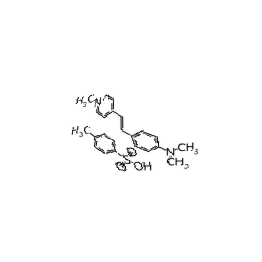 CN(C)c1ccc(C=Cc2cc[n+](C)cc2)cc1.Cc1ccc(S(=O)(=O)O)cc1